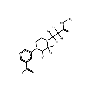 [2H]C1N(c2cccc([N+](=O)[O-])c2)CCN(C([2H])([2H])C([2H])([2H])C(=O)NN)C1([2H])[2H]